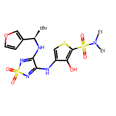 CCN(CC)S(=O)(=O)c1scc(NC2=NS(=O)(=O)N=C2N[C@@H](c2ccoc2)C(C)(C)C)c1O